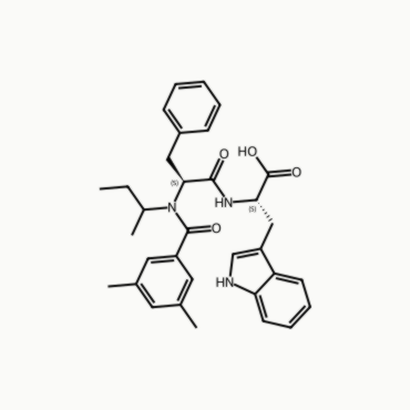 CCC(C)N(C(=O)c1cc(C)cc(C)c1)[C@@H](Cc1ccccc1)C(=O)N[C@@H](Cc1c[nH]c2ccccc12)C(=O)O